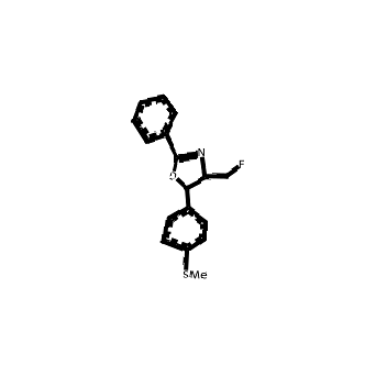 CSc1ccc(C2OC(c3ccccc3)=NC2CF)cc1